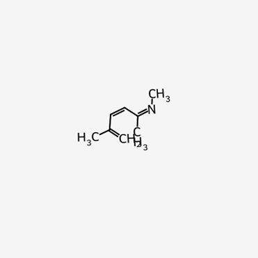 C=C(C)/C=C\C(C)=N/C